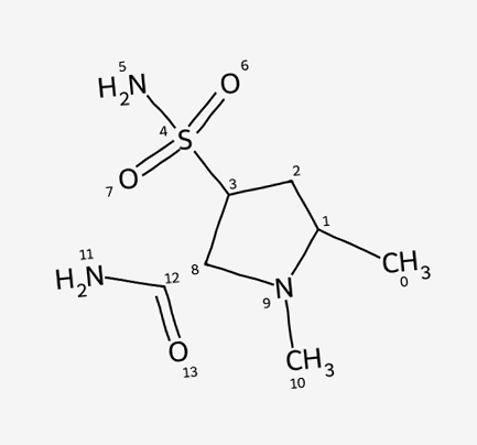 CC1CC(S(N)(=O)=O)CN1C.NC=O